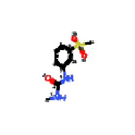 CNC(=O)Nc1cccc(S(C)(=O)=O)c1